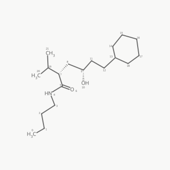 CCCCNC(=O)[C@@H](C[C@@H](O)CCC1CCCCC1)C(C)C